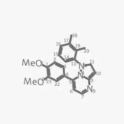 COc1ccc(C2=CC=NC3=CCN(c4cccc(C)c4C)N32)cc1OC